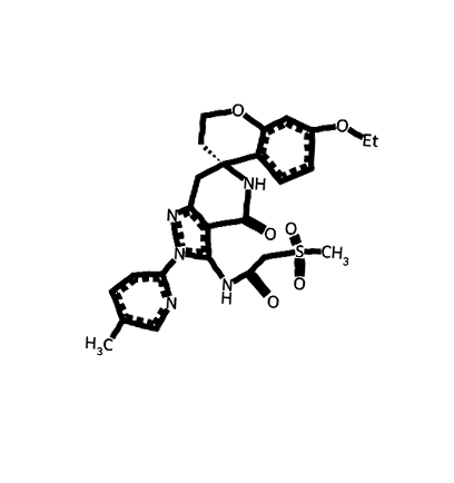 CCOc1ccc2c(c1)OCC[C@]21Cc2nn(-c3ccc(C)cn3)c(NC(=O)CS(C)(=O)=O)c2C(=O)N1